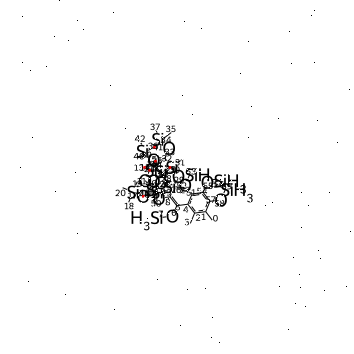 Cc1c(C)c(C(O[SiH3])=C(O[Si](O[Si](C)(C)C)(O[Si](C)(C)C)O[Si](C)(C)C)[Si](C)(C)O[Si](C)(C(O[Si](C)(C)C)O[Si](C)(C)C)C(C)(C)O[Si](C)(C)C)c(O[SiH3])c(O[SiH3])c1O[SiH3]